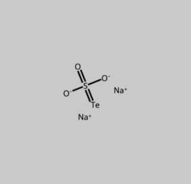 O=S([O-])([O-])=[Te].[Na+].[Na+]